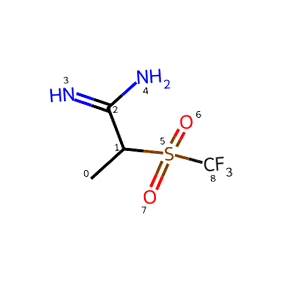 CC(C(=N)N)S(=O)(=O)C(F)(F)F